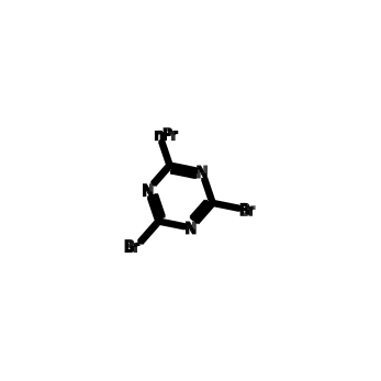 CCCc1nc(Br)nc(Br)n1